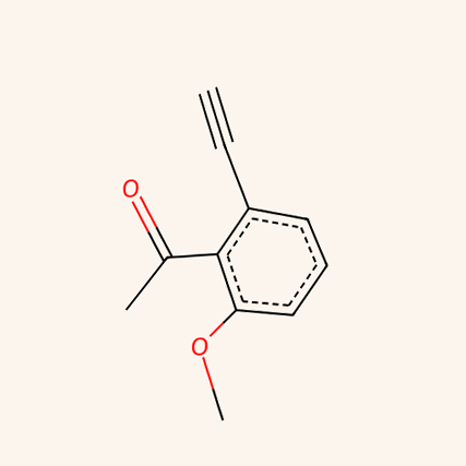 C#Cc1cccc(OC)c1C(C)=O